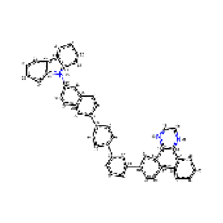 c1cc(-c2ccc(-c3ccc4cc(-n5c6ccccc6c6ccccc65)ccc4c3)cc2)cc(-c2ccc3c4ccccc4c4nccnc4c3c2)c1